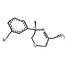 C[C@]1(c2cccc(Br)c2)COCC(N)=N1